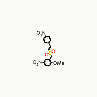 COc1ccc([N+](=O)[O-])cc1CS(=O)(=O)/C=C/c1ccc([N+](=O)[O-])cc1